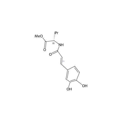 COC(=O)[C@@H](NC(=O)/C=C/c1ccc(O)c(O)c1)C(C)C